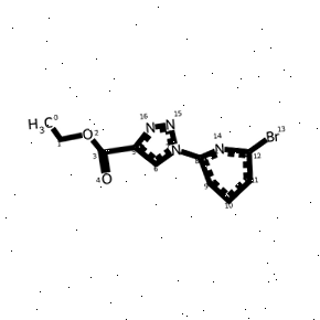 CCOC(=O)c1cn(-c2cccc(Br)n2)nn1